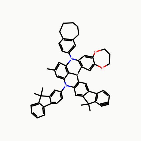 Cc1cc2c3c(c1)N(c1ccc4c(c1)C(C)(C)c1ccccc1-4)c1cc4c(cc1B3c1cc3c(cc1N2c1ccc2c(c1)CCCCC2)OCCCO3)-c1ccc#cc1C4(C)C